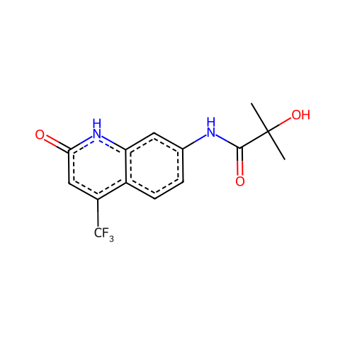 CC(C)(O)C(=O)Nc1ccc2c(C(F)(F)F)cc(=O)[nH]c2c1